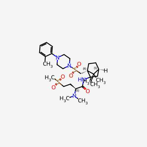 Cc1ccccc1N1CCN(S(=O)(=O)C[C@@]23CC[C@@H](C[C@]2(C)NC(=O)[C@H](CCS(C)(=O)=O)N(C)C)C3(C)C)CC1